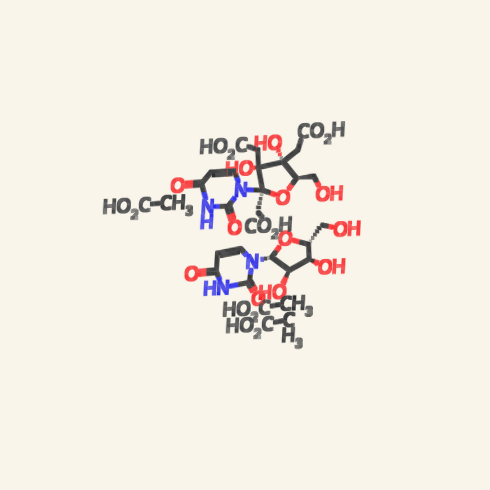 CC(=O)O.CC(=O)O.CC(=O)O.O=C(O)C[C@@]1(O)[C@@](O)(CC(=O)O)[C@@H](CO)O[C@@]1(CC(=O)O)n1ccc(=O)[nH]c1=O.O=c1ccn([C@@H]2O[C@H](CO)[C@@H](O)[C@H]2O)c(=O)[nH]1